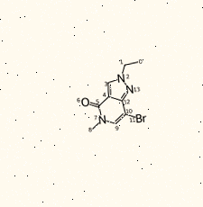 CCn1cc2c(=O)n(C)cc(Br)c2n1